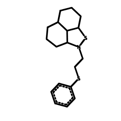 c1ccc(SCCN2SC3CCCC4CCCC2C43)cc1